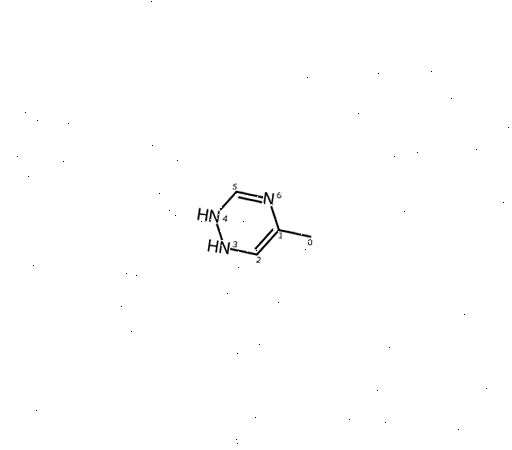 CC1=CNNC=N1